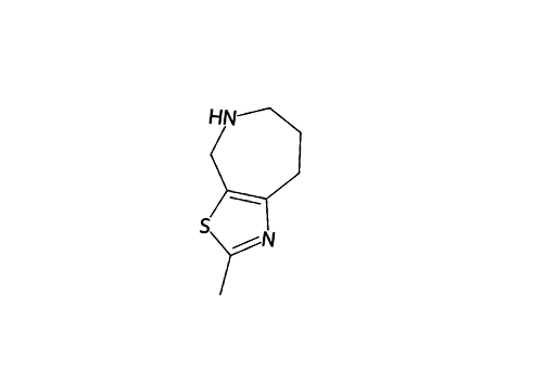 Cc1nc2c(s1)CNCCC2